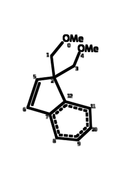 COCC1(COC)C=Cc2ccccc21